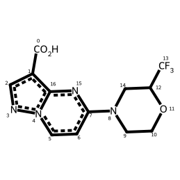 O=C(O)c1cnn2ccc(N3CCOC(C(F)(F)F)C3)nc12